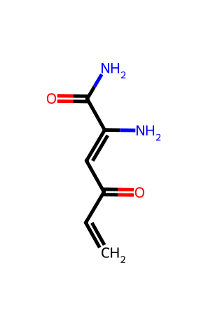 C=CC(=O)C=C(N)C(N)=O